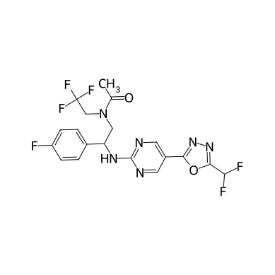 CC(=O)N(CC(Nc1ncc(-c2nnc(C(F)F)o2)cn1)c1ccc(F)cc1)CC(F)(F)F